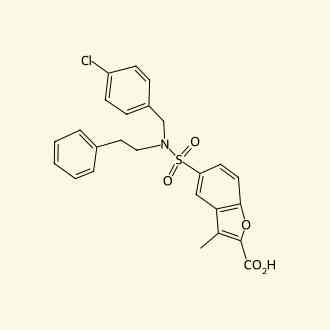 Cc1c(C(=O)O)oc2ccc(S(=O)(=O)N(CCc3ccccc3)Cc3ccc(Cl)cc3)cc12